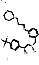 CN(Cc1cccc(OCCCN2CCCCC2)c1)CC(O)c1ccc(C(F)(F)F)cc1